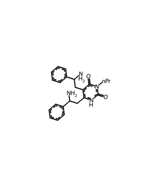 CCCn1c(=O)[nH]c(CC(N)c2ccccc2)c(CC(N)c2ccccc2)c1=O